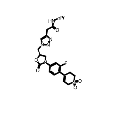 CCCNC(=O)Cc1cn(C[C@H]2CN(c3ccc(C4=CCS(=O)(=O)CC4)c(F)c3)C(=O)O2)nn1